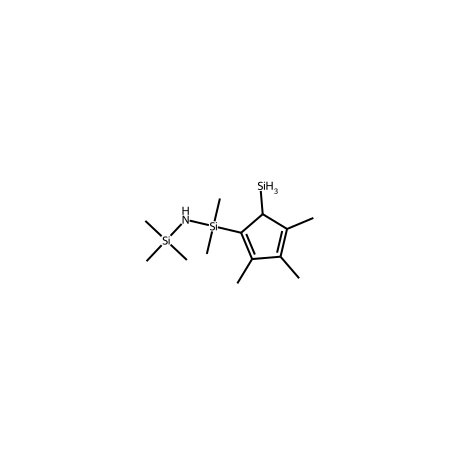 CC1=C(C)C([SiH3])C([Si](C)(C)N[Si](C)(C)C)=C1C